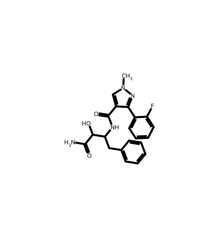 Cn1cc(C(=O)NC(Cc2ccccc2)C(O)C(N)=O)c(-c2ccccc2F)n1